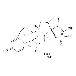 C[C@H]1C[C@H]2[C@@H]3CCC4=CC(=O)C=C[C@]4(C)[C@@]3(F)[C@@H](O)C[C@]2(C)[C@@]1(OP(=O)(O)O)C(=O)CO.[NaH].[NaH]